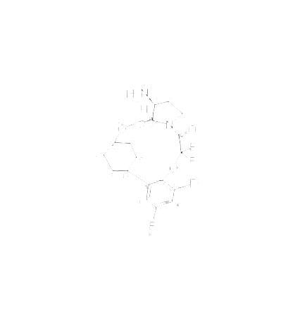 N[C@H]1CCN2C(=O)C(F)(F)Oc3c(F)cc(F)cc3C3CCC(CC3)OC[C@@H]12